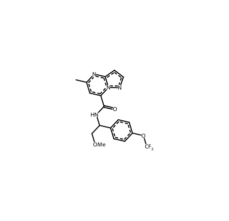 COCC(NC(=O)c1cc(C)nc2ccnn12)c1ccc(OC(F)(F)F)cc1